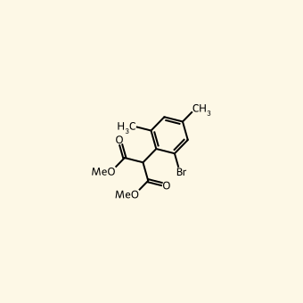 COC(=O)C(C(=O)OC)c1c(C)cc(C)cc1Br